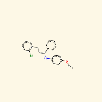 COc1ccc(NC(CCc2ccccc2Cl)c2ccccc2)cc1